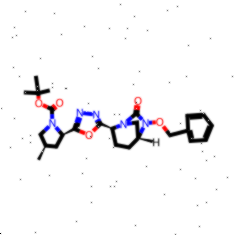 C[C@@H]1C[C@H](c2nnc([C@@H]3CC[C@@H]4CN3C(=O)N4OCc3ccccc3)o2)N(C(=O)OC(C)(C)C)C1